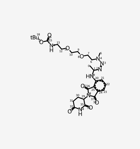 CC(/N=N\N(C)CCOCCOCCNC(=O)OC(C)(C)C)Nc1cccc2c1C(=O)N(C1CCC(=O)NC1=O)C2=O